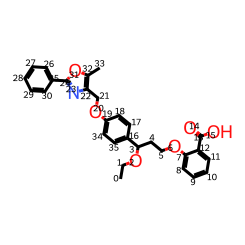 CCOC(CCOc1ccccc1C(=O)O)c1ccc(OCc2nc(-c3ccccc3)oc2C)cc1